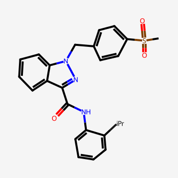 CC(C)c1ccccc1NC(=O)c1nn(Cc2ccc(S(C)(=O)=O)cc2)c2ccccc12